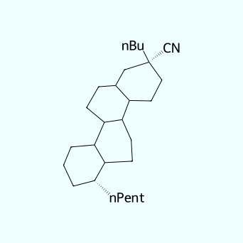 CCCCC[C@@H]1CCCC2C3CCC4C[C@@](C#N)(CCCC)CCC4C3CCC21